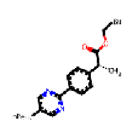 CCCCCc1cnc(-c2ccc([C@@H](C)C(=O)OCC(C)CC)cc2)nc1